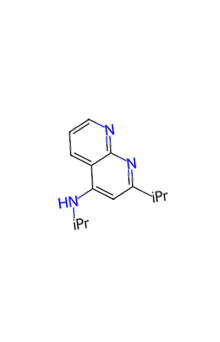 CC(C)Nc1cc(C(C)C)nc2ncccc12